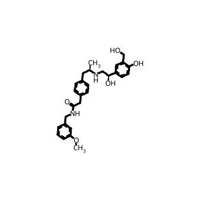 COc1cccc(CNC(=O)Cc2ccc(C[C@@H](C)NC[C@H](O)c3ccc(O)c(CO)c3)cc2)c1